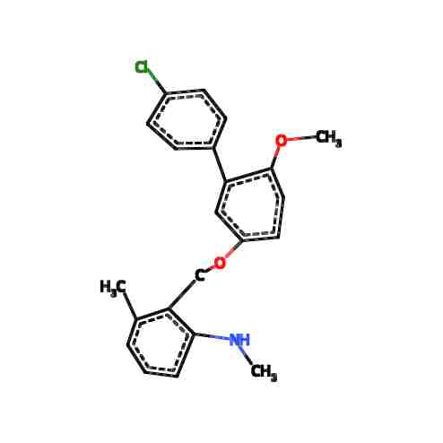 CNc1cccc(C)c1COc1ccc(OC)c(-c2ccc(Cl)cc2)c1